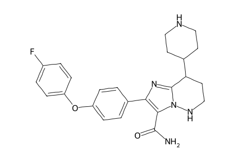 NC(=O)c1c(-c2ccc(Oc3ccc(F)cc3)cc2)nc2n1NCCC2C1CCNCC1